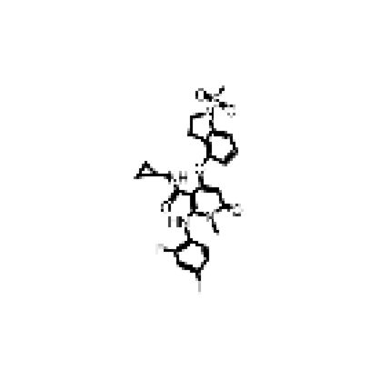 Cn1c(Nc2ccc(I)cc2F)c(C(=O)NC2CC2)c(Oc2cccc3c2CCN3S(C)(=O)=O)cc1=O